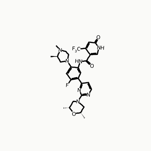 C[C@@H]1CN(c2nccc(-c3cc(NC(=O)c4c[nH]c(=O)cc4C(F)(F)F)c(N4CCN(C)[C@H](C)C4)cc3F)n2)C[C@H](C)O1